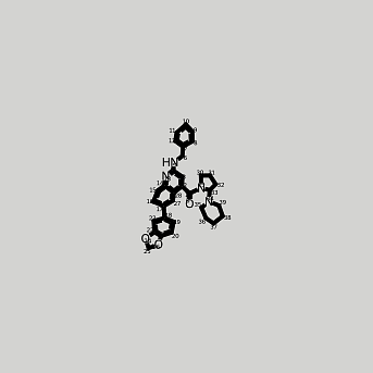 O=C(c1cc(NCc2ccccc2)nc2ccc(-c3ccc4c(c3)OCO4)cc12)N1CCCC1N1CCCCC1